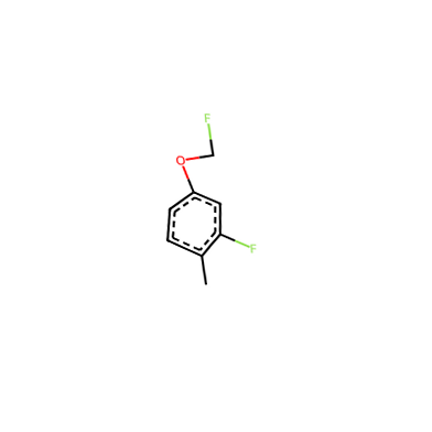 Cc1ccc(OCF)cc1F